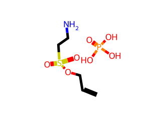 C=CCOS(=O)(=O)CCN.O=P(O)(O)O